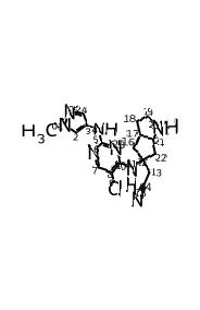 Cn1cc(Nc2ncc(Cl)c(NC3(CC#N)CC4CCNC4C3)n2)cn1